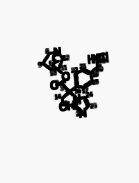 Cl.Cl.O=C(OC1CN2CCC1CC2)C(CO)(c1ccc(F)cc1)n1ccnc1